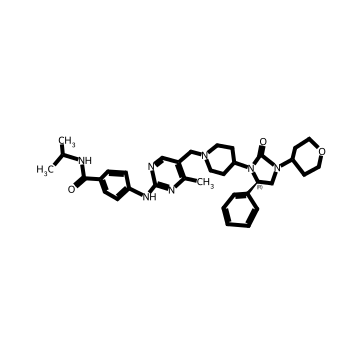 Cc1nc(Nc2ccc(C(=O)NC(C)C)cc2)ncc1CN1CCC(N2C(=O)N(C3CCOCC3)C[C@H]2c2ccccc2)CC1